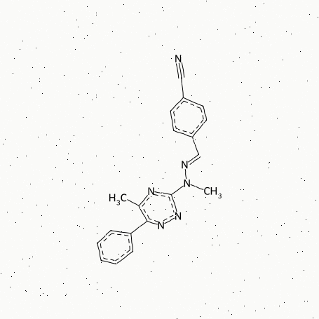 Cc1nc(N(C)N=Cc2ccc(C#N)cc2)nnc1-c1ccccc1